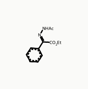 CCOC(=O)C(=NNC(C)=O)c1ccccc1